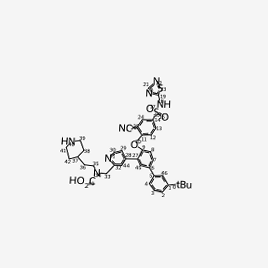 CC(C)(C)c1cccc(-c2ccc(Oc3ccc(S(=O)(=O)Nc4ncns4)cc3C#N)c(-c3ccnc(CN(CCC4CCNCC4)C(=O)O)c3)c2)c1